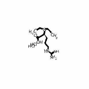 CCN(CC)[C@@H](CCCNC(=N)N)C(=O)O.Cl.Cl